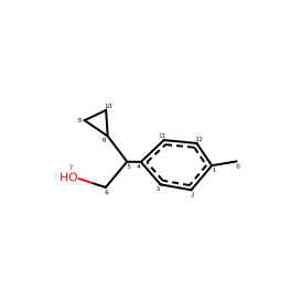 Cc1ccc(C(CO)C2CC2)cc1